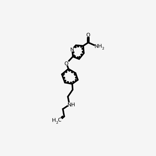 C=CCNCCc1ccc(Oc2ccc(C(N)=O)cn2)cc1